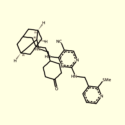 CSc1ncccc1CNc1ncc(C#N)c(NCC23CC4C[C@H](C2)[C@H](NCC2CCC(=O)CC2)[C@@H](C4)C3)n1